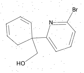 OCC1(c2cccc(Br)n2)C=CC=CC1